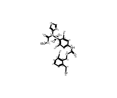 CC(C)(C)OC(=O)N(c1cscn1)S(=O)(=O)c1c(F)cc(NC(=O)OCc2c(F)cccc2CBr)cc1F